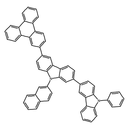 c1ccc(-n2c3ccccc3c3cc(-c4ccc5c6cc(-c7ccc8c9ccccc9c9ccccc9c8c7)ccc6n(-c6ccc7ccccc7c6)c5c4)ccc32)cc1